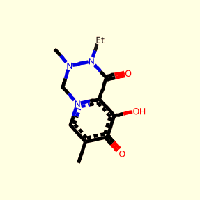 CCN1C(=O)c2c(O)c(=O)c(C)cn2CN1C